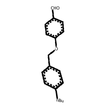 CCCCc1ccc(COc2ccc(C=O)cc2)cc1